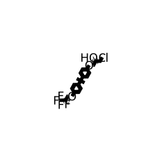 CC(C)(c1ccc(OC[C@H](O)CCl)cc1)c1ccc(OC[C@H](F)C(F)(F)F)cc1